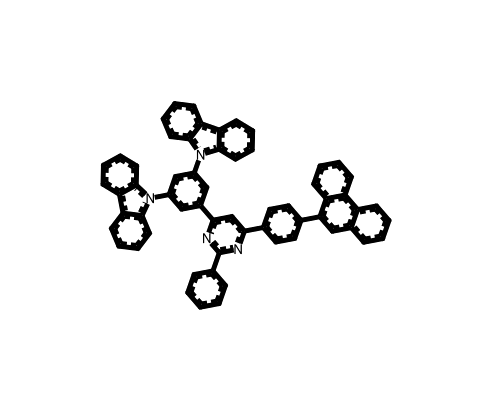 c1ccc(-c2nc(-c3ccc(-c4cc5ccccc5c5ccccc45)cc3)cc(-c3cc(-n4c5ccccc5c5ccccc54)cc(-n4c5ccccc5c5ccccc54)c3)n2)cc1